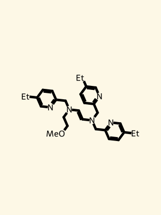 CCc1ccc(CN(C=CN(Cc2ccc(CC)cn2)Cc2ccc(CC)cn2)CCOC)nc1